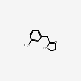 Nc1cccc(CC2=NCCN2)c1